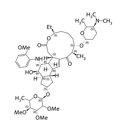 CC[C@H]1CCC[C@H](O[C@H]2CC[C@H](N(C)C)C(C)O2)[C@@H](C)C(=O)C2=C[C@H]3[C@@H]4C[C@H](O[C@@H]5OC(C)[C@H](OC)[C@@H](OC)C5OC)C[C@H]4[C@@H](O)[C@H](Nc4ccccc4OC)[C@H]3[C@@H]2CC(=O)O1